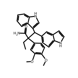 CCC(C(N)=O)(c1ccc(OC)c(OC)c1)C(c1ccc2[nH]ccc2c1)c1c[nH]c2ccccc12